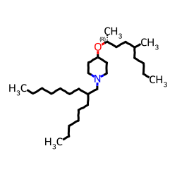 CCCCCCCC(CCCCCC)CN1CCC(O[C@H](C)CCC(C)CCCC)CC1